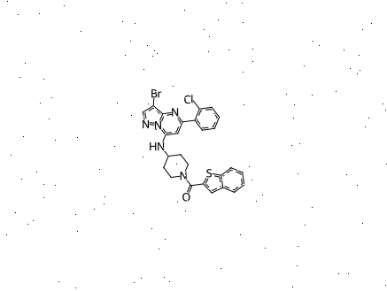 O=C(c1cc2ccccc2s1)N1CCC(Nc2cc(-c3ccccc3Cl)nc3c(Br)cnn23)CC1